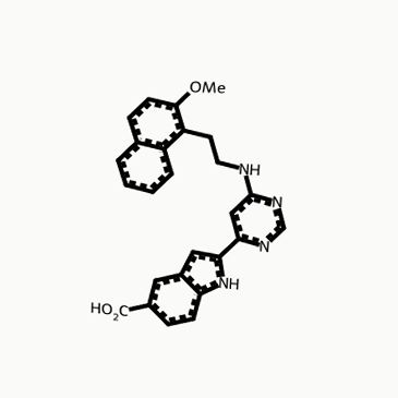 COc1ccc2ccccc2c1CCNc1cc(-c2cc3cc(C(=O)O)ccc3[nH]2)ncn1